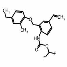 C=Cc1ccc(NC(=O)OC(F)F)c(COc2ccc(CC)cc2C)c1